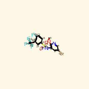 COc1ncc(Br)cc1NS(=O)(=O)c1ccc(F)c(C(F)(F)F)c1